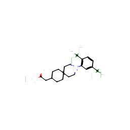 O=C(O)CC1CCC2(CC1)CCN(c1cc(C(F)(F)F)ccc1C(F)(F)F)CC2